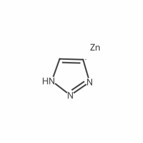 [Zn].[c]1c[nH]nn1